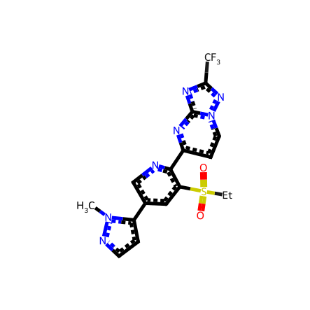 CCS(=O)(=O)c1cc(-c2ccnn2C)cnc1-c1ccn2nc(C(F)(F)F)nc2n1